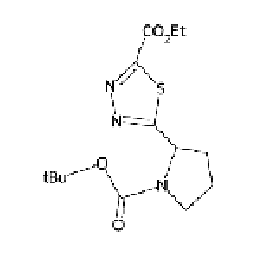 CCOC(=O)c1nnc(C2CCCN2C(=O)OC(C)(C)C)s1